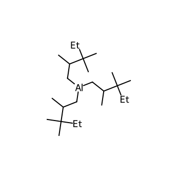 CCC(C)(C)C(C)[CH2][Al]([CH2]C(C)C(C)(C)CC)[CH2]C(C)C(C)(C)CC